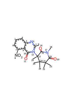 Cc1nc2cccc([N+](=O)[O-])c2c(=O)n1C1(C)C(=O)N(C)C(=O)C(C)(C)C1(C)C